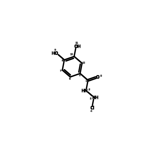 O=C(NNCl)c1ccc(O)c(O)c1